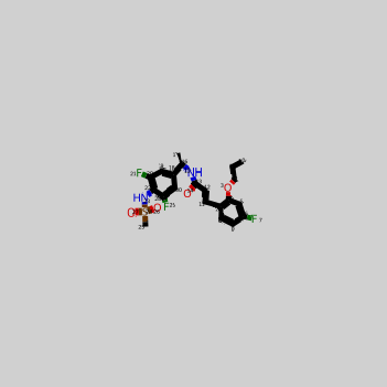 CCCOc1cc(F)ccc1/C=C/C(=O)N[C@H](C)c1cc(F)c(NS(C)(=O)=O)c(F)c1